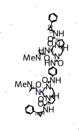 CN[C@@H](C)C(=O)/N=C1\CN(C(=O)Nc2ccc(NC(=O)N3CC[C@H]4CC[C@@H](C(=O)N[C@H]5C[C@H]5c5ccccc5)N4C(=O)[C@@H](NC(=O)[C@H](C)NC)C3)cc2)CC[C@H]2CC[C@@H](C(=O)N[C@H]3C[C@H]3c3ccccc3)N2C1=O